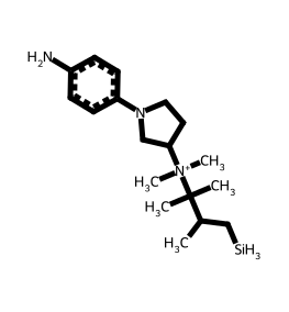 CC(C[SiH3])C(C)(C)[N+](C)(C)C1CCN(c2ccc(N)cc2)C1